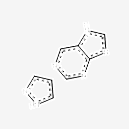 c1cn[nH]c1.c1ncc2[nH]cnc2n1